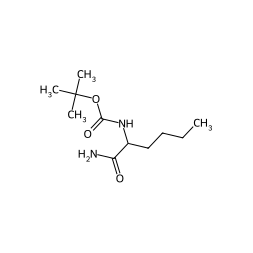 CCCCC(NC(=O)OC(C)(C)C)C(N)=O